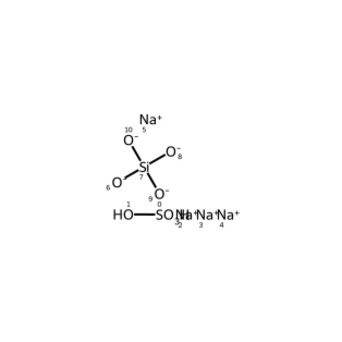 O=S(=O)(O)O.[Na+].[Na+].[Na+].[Na+].[O-][Si]([O-])([O-])[O-]